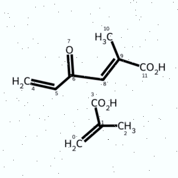 C=C(C)C(=O)O.C=CC(=O)C=C(C)C(=O)O